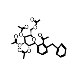 CC(=O)OC[C@H]1O[C@@H](c2cccc(Cc3ccccc3)c2C(C)=O)[C@H](OC(C)=O)[C@@H](OC(C)=O)[C@@H]1OC(C)=O